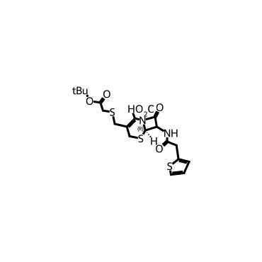 CC(C)(C)OC(=O)CSCC1=C(C(=O)O)N2C(=O)C(NC(=O)Cc3cccs3)[C@H]2SC1